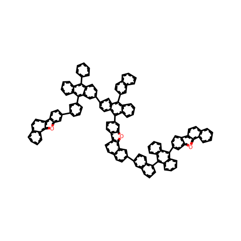 c1ccc(-c2c3ccccc3c(-c3cccc(-c4ccc5c(c4)oc4c6ccccc6ccc54)c3)c3cc(-c4ccc5c(-c6ccc7c(c6)oc6c8cc(-c9ccc%10c(-c%11c%12ccccc%12c(-c%12ccc%13c(c%12)oc%12c%14ccccc%14ccc%13%12)c%12ccccc%11%12)cccc%10c9)ccc8ccc76)c6ccccc6c(-c6ccc7ccccc7c6)c5c4)ccc23)cc1